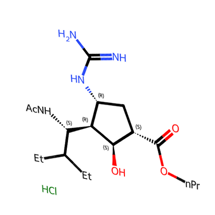 CCCOC(=O)[C@H]1C[C@@H](NC(=N)N)[C@H]([C@@H](NC(C)=O)C(CC)CC)[C@@H]1O.Cl